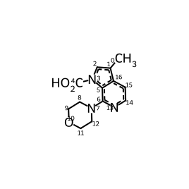 Cc1cn(C(=O)O)c2c(N3CCOCC3)nccc12